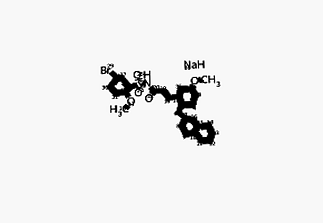 COc1ccc(Cc2ccc3ccccc3c2)c(/C=C/C(=O)NS(=O)(=O)c2cc(Br)ccc2OC)c1.[NaH]